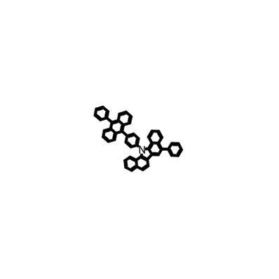 c1ccc(-c2c3ccccc3c(-c3ccc(-n4c5c6ccccc6ccc5c5cc(-c6ccccc6)c6ccccc6c54)cc3)c3ccccc23)cc1